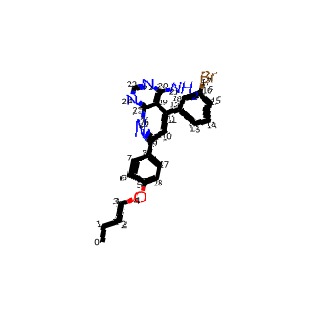 CCCCOc1ccc(-c2cc(-c3cccc(Br)c3)c3c(N)ncnc3n2)cc1